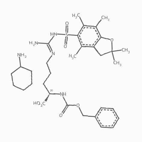 Cc1c(C)c(S(=O)(=O)NC(N)=NCCC[C@@H](NC(=O)OCc2ccccc2)C(=O)O)c(C)c2c1OC(C)(C)C2.NC1CCCCC1